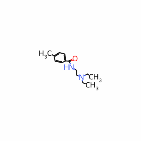 CCN(CC)CCNC(=O)c1ccc(C)cc1